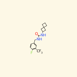 O=C(NCc1ccc(F)c(C(F)(F)F)c1)NC1CC2(CCC2)C1